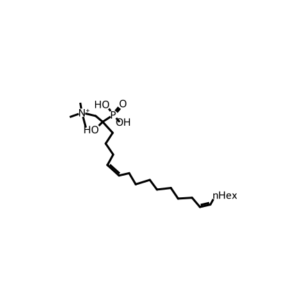 CCCCCC/C=C\CCCCCCC/C=C\CCCC(O)(C[N+](C)(C)C)P(=O)(O)O